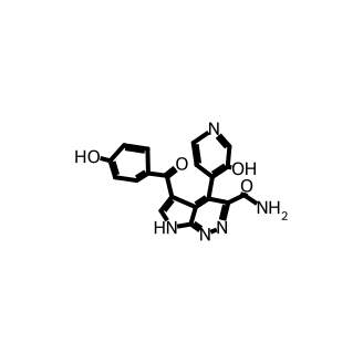 NC(=O)c1nnc2[nH]cc(C(=O)c3ccc(O)cc3)c2c1-c1ccncc1O